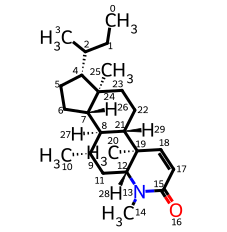 CCC(C)[C@H]1CC[C@H]2[C@@H]3[C@@H](C)C[C@H]4N(C)C(=O)C=C[C@]4(C)[C@H]3CC[C@]12C